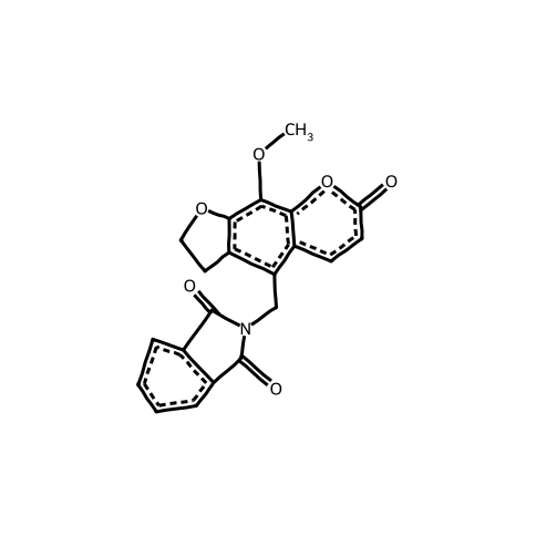 COc1c2c(c(CN3C(=O)c4ccccc4C3=O)c3ccc(=O)oc13)CCO2